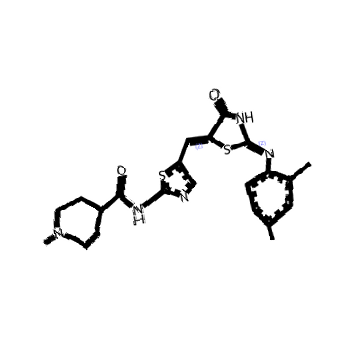 Cc1ccc(/N=C2/NC(=O)/C(=C/c3cnc(NC(=O)C4CCN(C)CC4)s3)S2)c(C)c1